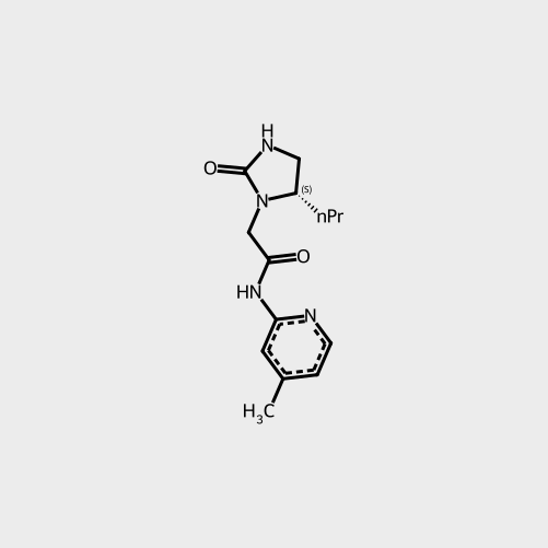 CCC[C@H]1CNC(=O)N1CC(=O)Nc1cc(C)ccn1